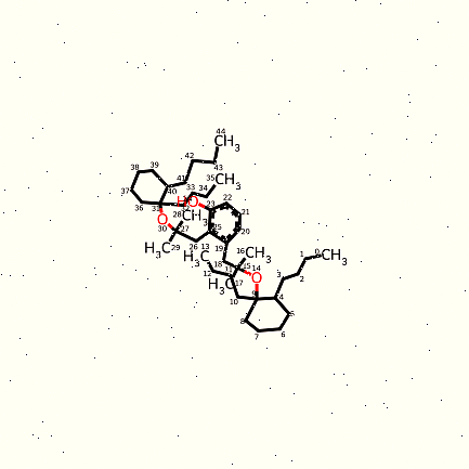 CCCCC1CCCCC1(CCCC)OC(C)(C)Cc1cccc(O)c1CC(C)(C)OC1(CCCC)CCCCC1CCCC